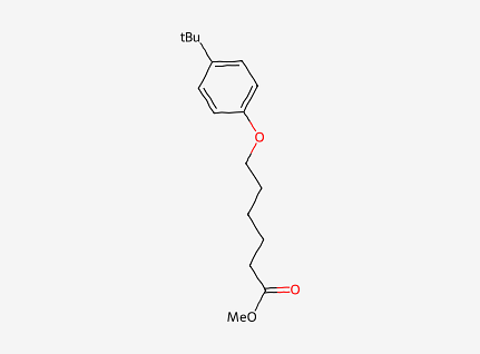 COC(=O)CCCCCOc1ccc(C(C)(C)C)cc1